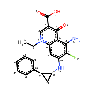 CCn1cc(C(=O)O)c(=O)c2c(N)c(F)c(N[C@@H]3C[C@H]3c3ccccc3)cc21